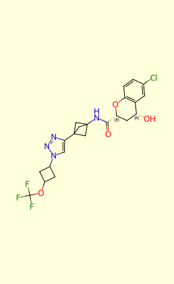 O=C(NC12CC(c3cn(C4CC(OC(F)(F)F)C4)nn3)(C1)C2)[C@H]1C[C@@H](O)c2cc(Cl)ccc2O1